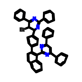 CCC1C(c2ccccc2)=NC(c2ccccc2)=NC1c1ccc(-c2ccc3ccccc3c2-c2nc(-c3ccccc3)cc(-c3ccccc3)n2)cc1